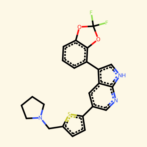 FC1(F)Oc2cccc(-c3c[nH]c4ncc(-c5ccc(CN6CCCC6)s5)cc34)c2O1